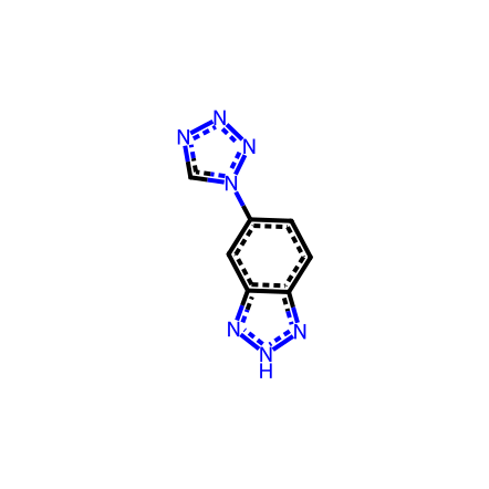 c1cc2n[nH]nc2cc1-n1cnnn1